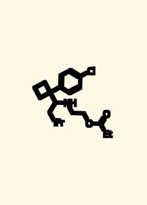 CCC(=O)OCCNC(CC(C)C)C1(c2ccc(Cl)cc2)CCC1